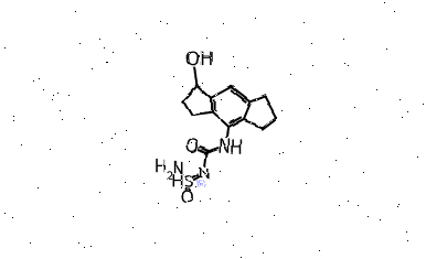 N/[SH](=O)=N\C(=O)Nc1c2c(cc3c1CCC3O)CCC2